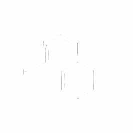 Cc1cccc2c(Br)ncc(C)c12